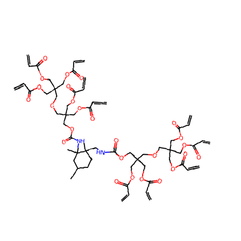 C=CC(=O)OCC(COCC(COC(=O)C=C)(COC(=O)C=C)COC(=O)NCC1(C)CCC(C)CC1(C)NC(=O)OCC(COCC(COC(=O)C=C)(COC(=O)C=C)COC(=O)C=C)(COC(=O)C=C)COC(=O)C=C)(COC(=O)C=C)COC(=O)C=C